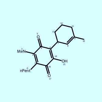 CCCCCC1=C(NC)C(=O)C(C2C=C(C)CCC2)=C(O)C1=O